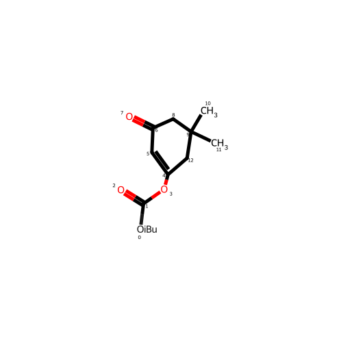 CC(C)COC(=O)OC1=CC(=O)CC(C)(C)C1